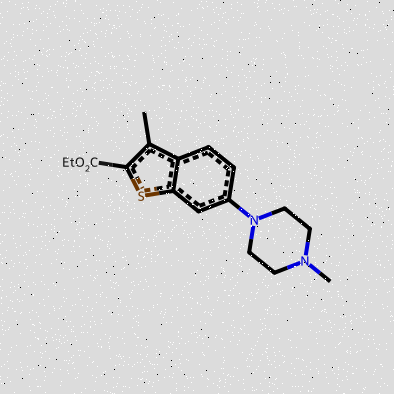 CCOC(=O)c1sc2cc(N3CCN(C)CC3)ccc2c1C